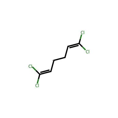 ClC(Cl)=C[CH]CC=C(Cl)Cl